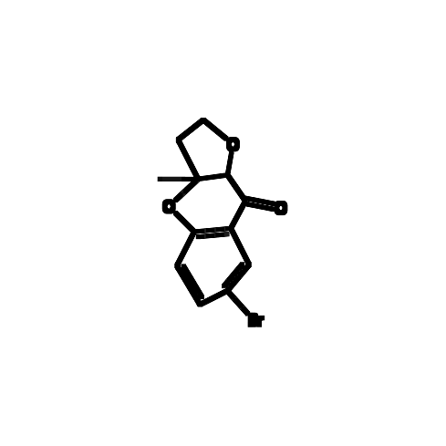 CC12CCOC1C(=O)c1cc(Br)ccc1O2